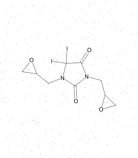 O=C1N(CC2CO2)C(=O)C(I)(I)N1CC1CO1